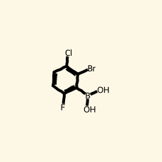 OB(O)c1c(F)ccc(Cl)c1Br